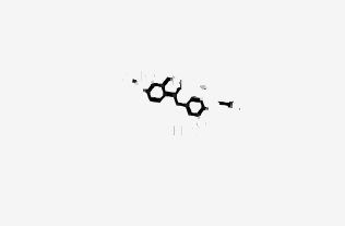 CCOc1ccc2c(Cc3cc(OC)c(OCC#N)c(OC)c3)cncc2c1O